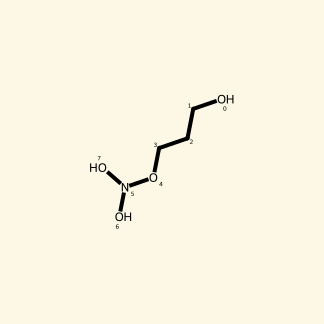 OCCCON(O)O